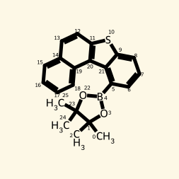 CC1(C)OB(c2cccc3sc4ccc5ccccc5c4c23)OC1(C)C